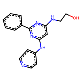 OCCNc1cc(Nc2ccncc2)nc(-c2ccccc2)n1